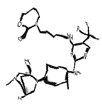 Cc1cc(N2C[C@H]3C[C@@H]2CN3C)ccc1Nc1ncc(C(F)(F)F)c(NCCCN2CCCOC2=O)n1